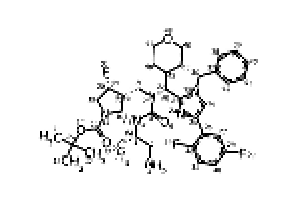 C[C@@H](CN)NC(=O)N(C[C@@H]1CN(C(=O)OC(C)(C)C)C[C@@H]1F)[C@@H](c1nc(-c2cc(F)ccc2F)cn1Cc1ccccc1)C1CCOCC1